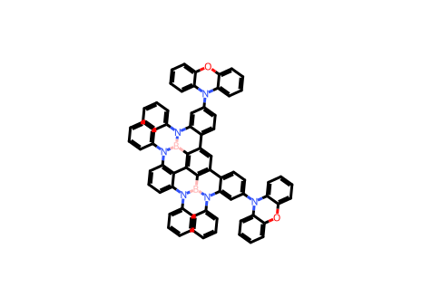 c1ccc(N2B3c4c(cc5c6c4-c4c(cccc4N(c4ccccc4)B6N(c4ccccc4)c4cc(N6c7ccccc7Oc7ccccc76)ccc4-5)N3c3ccccc3)-c3ccc(N4c5ccccc5Oc5ccccc54)cc32)cc1